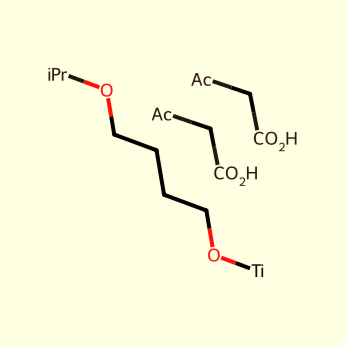 CC(=O)CC(=O)O.CC(=O)CC(=O)O.CC(C)OCCCC[O][Ti]